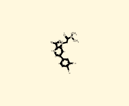 CN(C)C(=O)Cn1nc(F)c2ncc(-c3ccc(F)c(F)c3)cc21